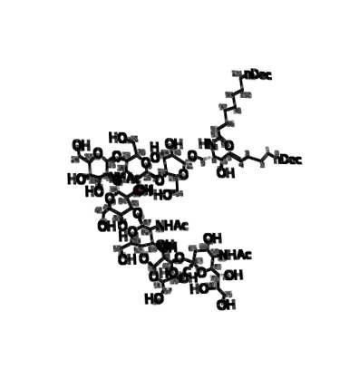 CCCCCCCCCCCCC/C=C/[C@@H](O)[C@H](CO[C@@H]1OC(CO)[C@@H](O[C@@H]2OC(CO)[C@H](O[C@@H]3OC(CO)[C@H](O)[C@H](O)C3NC(C)=O)[C@H](O[C@H]3OC(CO)[C@H](O)[C@H](O[C@@H]4OC(CO)[C@@H](O[C@@H]5OC(CO)[C@H](O)[C@H](O[C@]6(C(=O)O)CC(O)[C@@H](NC(C)=O)C([C@H](O)[C@H](O)CO)O6)C5O)[C@H](O)C4NC(C)=O)C3O)C2O)[C@H](O)C1O)NC(=O)CCCCCCCCCCCCCCCCC